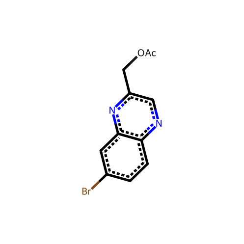 CC(=O)OCc1cnc2ccc(Br)cc2n1